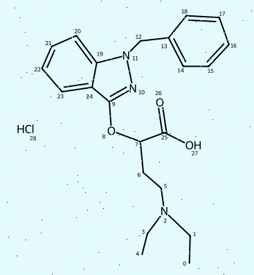 CCN(CC)CCC(Oc1nn(Cc2ccccc2)c2ccccc12)C(=O)O.Cl